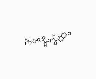 O=C(COC1CC(OC(F)(F)F)C1)NC12CC(NC(=O)c3ccc4cc(Cl)ccc4n3)(C1)C2